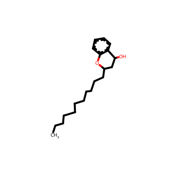 CCCCCCCCCCCC1CC(O)c2ccccc2O1